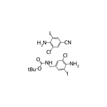 CC(C)(C)OC(=O)NCc1cc(Cl)c(N)c(I)c1.N#Cc1cc(Cl)c(N)c(I)c1